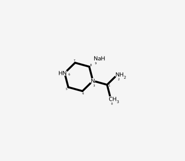 CC(N)N1CCNCC1.[NaH]